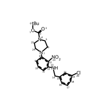 CC(C)(C)OC(=O)N1CCN(c2cccc(NCc3cccc(Cl)c3)c2[N+](=O)[O-])CC1